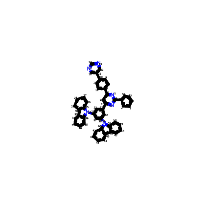 c1ccc(-c2nc(-c3ccc(-c4cncnc4)cc3)cc(-c3cc(-n4c5ccccc5c5ccccc54)cc(-n4c5ccccc5c5ccccc54)c3)n2)cc1